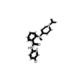 CC(C)N1CCC(N(C)c2ccccc2C(=O)Nc2ccc(Cl)cn2)CC1